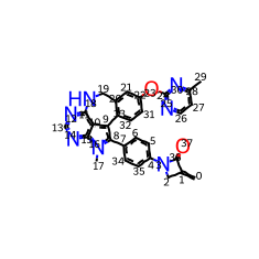 C=C1CN(c2ccc(-c3c4c5c(ncnc5n3C)NCc3cc(Oc5nccc(C)n5)ccc3-4)cc2)C1=O